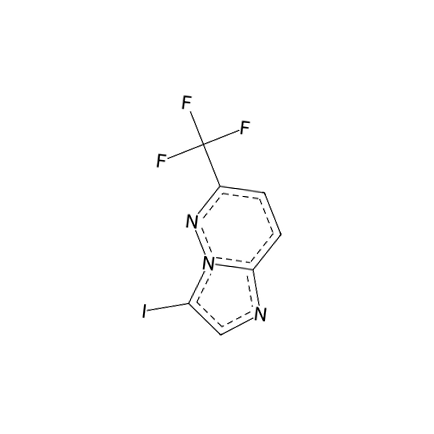 FC(F)(F)c1ccc2ncc(I)n2n1